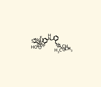 COC(C)(C)C1CN(Cc2ccccc2CNc2cc(F)c(S(=O)(=O)N(C(=O)O)c3cscn3)c(F)c2)C1